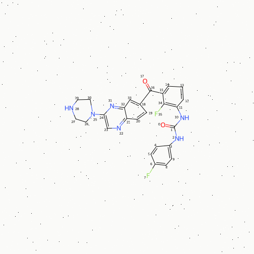 O=C(Nc1ccc(F)cc1)Nc1cccc(C(=O)c2ccc3ncc(N4CCNCC4)nc3c2)c1F